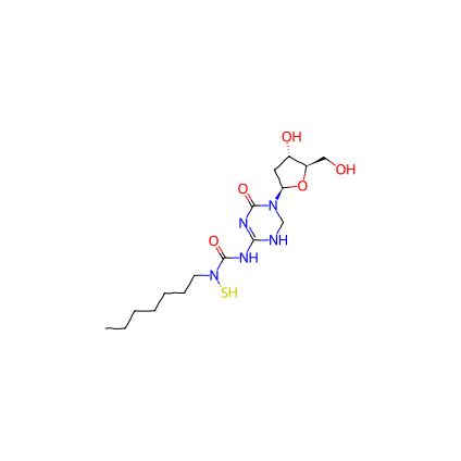 CCCCCCCN(S)C(=O)NC1=NC(=O)N([C@H]2C[C@H](O)[C@@H](CO)O2)CN1